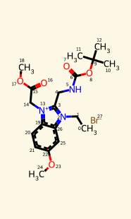 CCn1c(CNC(=O)OC(C)(C)C)[n+](CC(=O)OC)c2ccc(OC)cc21.[Br-]